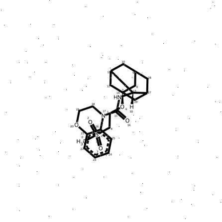 CS(=O)(=O)CCO[C@]12CC3CC(C1)[C@@H](NC(=O)N1CCOc4ccccc41)C(C3)C2